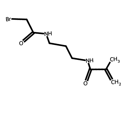 C=C(C)C(=O)NCCCNC(=O)CBr